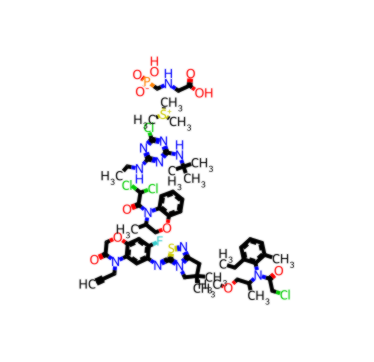 C#CCN1C(=O)COc2cc(F)c(/N=c3\snc4n3CC(C)(C)C4)cc21.CC1COc2ccccc2N1C(=O)C(Cl)Cl.CCNc1nc(Cl)nc(NC(C)(C)C)n1.CCc1cccc(C)c1N(C(=O)CCl)C(C)COC.C[S+](C)C.O=C(O)CNCP(=O)([O-])O